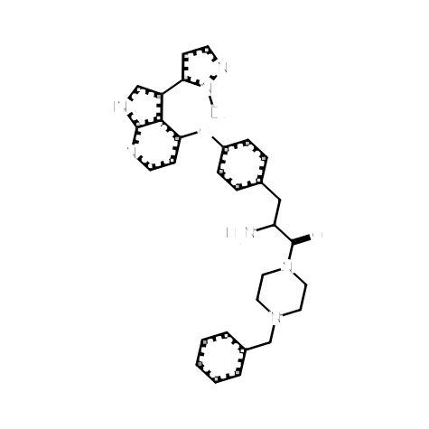 CCn1nccc1-c1c[nH]c2nccc(Oc3ccc(CC(N)C(=O)N4CCN(Cc5ccccc5)CC4)cc3)c12